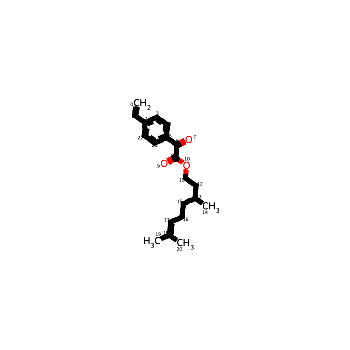 C=Cc1ccc(C(=O)C(=O)OCCC(C)CCC=C(C)C)cc1